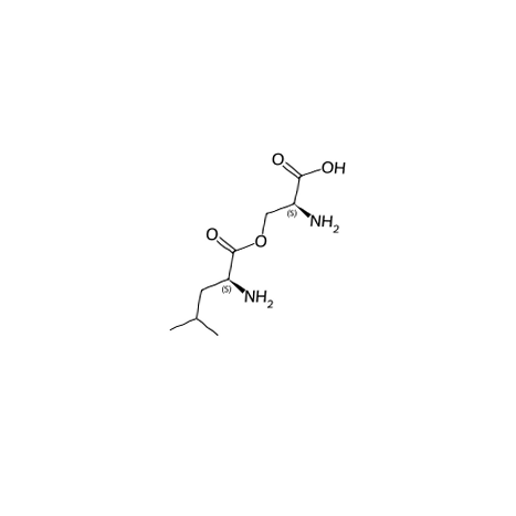 CC(C)C[C@H](N)C(=O)OC[C@H](N)C(=O)O